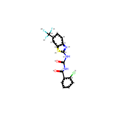 O=C(NC(=O)c1ccccc1Cl)Nc1nc2ccc(C(F)(F)F)cc2s1